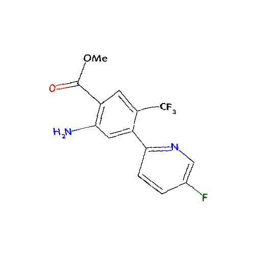 COC(=O)c1cc(C(F)(F)F)c(-c2ccc(F)cn2)cc1N